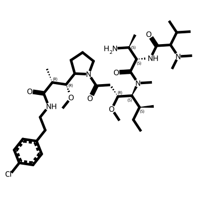 CC[C@H](C)[C@@H]([C@@H](CC(=O)N1CCCC1[C@H](OC)[C@@H](C)C(=O)NCCc1ccc(Cl)cc1)OC)N(C)C(=O)[C@@H](NC(=O)C(C(C)C)N(C)C)[C@H](C)N